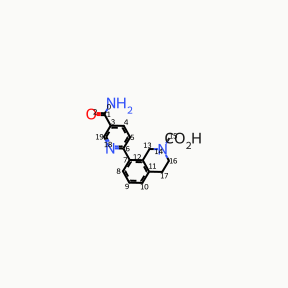 NC(=O)c1ccc(-c2cccc3c2CN(C(=O)O)CC3)nc1